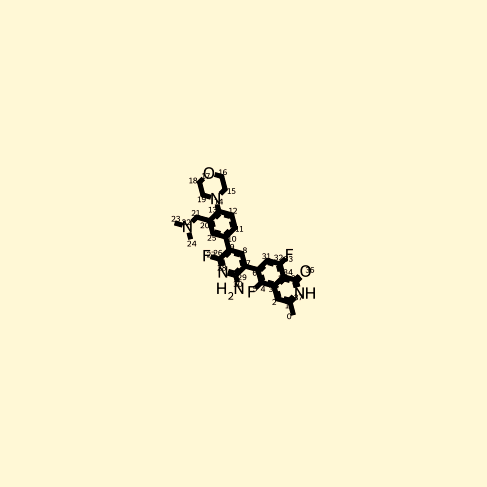 Cc1cc2c(F)c(-c3cc(-c4ccc(N5CCOCC5)c(CN(C)C)c4)c(F)nc3N)cc(F)c2c(=O)[nH]1